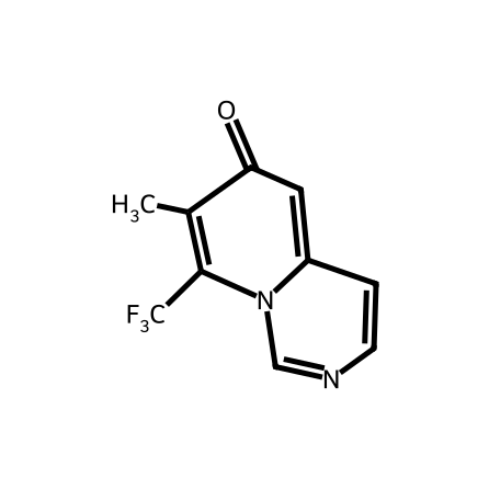 Cc1c(C(F)(F)F)n2cnccc2cc1=O